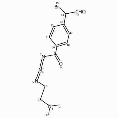 CN(C)CCN=[N+]=NC(=O)c1ccc(C(Br)C=O)cc1